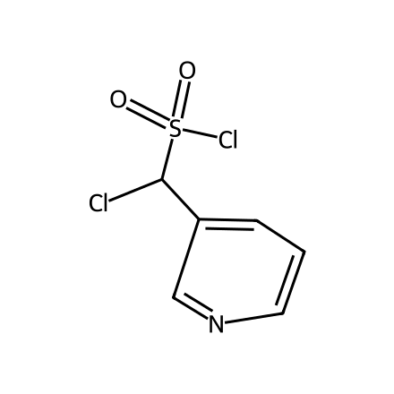 O=S(=O)(Cl)C(Cl)c1cccnc1